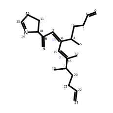 C=CCCC(C)C(=C/C(=C)C1CCC=N1)/C=C(\C)C(C)CCC=C